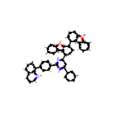 c1ccc(-c2cc(-c3ccc(-c4cccc5oc6ccccc6c45)c4oc5ccccc5c34)nc(-c3ccc(-c4cccc5cccnc45)cc3)n2)cc1